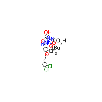 CC(C)(C)OC(=O)N/C(=N\C(=O)O)N1CC(O)C[C@H]1c1nc(-c2ccc(OCCCc3ccc(Cl)c(Cl)c3)c(C(F)(F)F)c2)no1